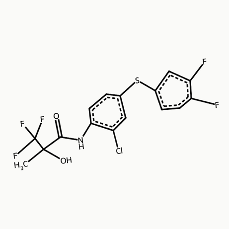 CC(O)(C(=O)Nc1ccc(Sc2ccc(F)c(F)c2)cc1Cl)C(F)(F)F